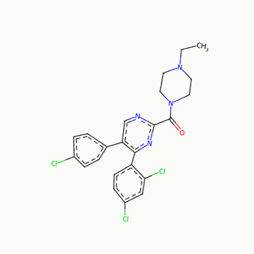 CCN1CCN(C(=O)c2ncc(-c3ccc(Cl)cc3)c(-c3ccc(Cl)cc3Cl)n2)CC1